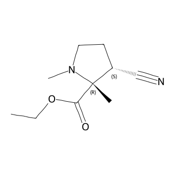 CCOC(=O)[C@@]1(C)[C@@H](C#N)CCN1C